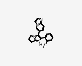 Cc1ccccc1-c1nc2n(c1-c1ccc3nccn3c1)CCC2